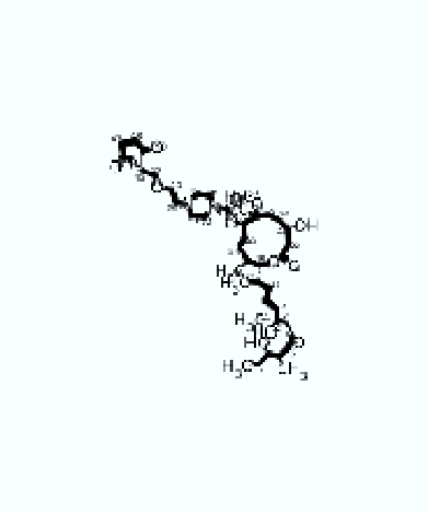 CC[C@H](O)[C@@H](C)[C@H]1O[C@@H]1C[C@@](C)(O)/C=C/C=C(\C)[C@H]1OC(=O)C[C@H](O)CC[C@@](C)(OC)[C@H](OC(=O)N2CCN(CCOCCN3C(=O)C=CC3=O)CC2)/C=C/[C@@H]1C